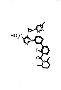 CC1CCCC(C)N1C(=O)c1cccc(-c2cccc(-n3ncc(C(=O)O)c3[C@@H]3C[C@H]3c3cn(C)nn3)c2)c1F